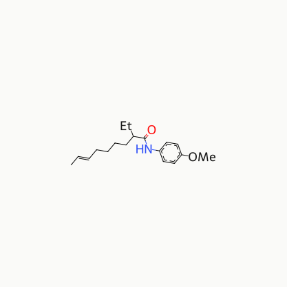 CC=CCCCCC(CC)C(=O)Nc1ccc(OC)cc1